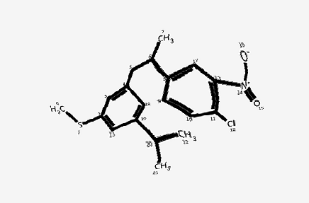 CSc1cc(CC(C)c2ccc(Cl)c([N+](=O)[O-])c2)cc(C(C)C)c1